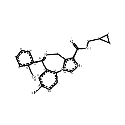 O=C(NCC1CC1)c1ncn2c1CN=C(c1ccccc1Br)c1cc(F)ccc1-2